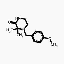 COc1ccc(CN2CCNC(=O)C2(C)C)cc1